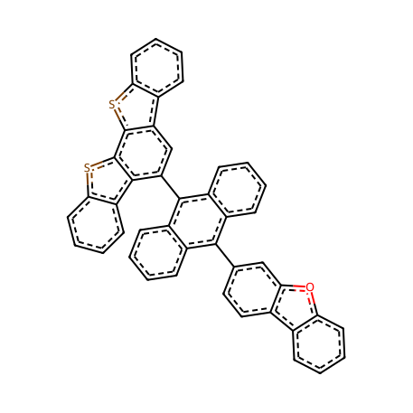 c1ccc2c(c1)oc1cc(-c3c4ccccc4c(-c4cc5c6ccccc6sc5c5sc6ccccc6c45)c4ccccc34)ccc12